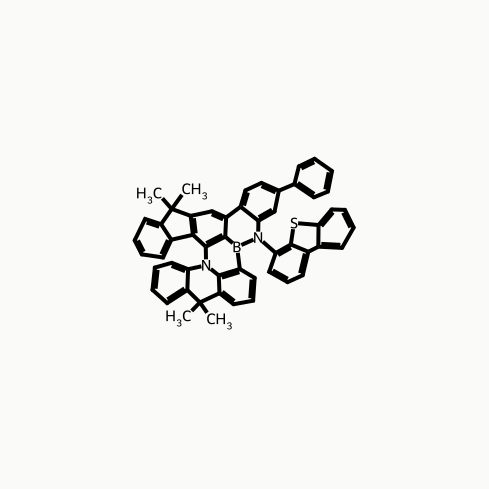 CC1(C)c2ccccc2-c2c1cc1c3c2N2c4ccccc4C(C)(C)c4cccc(c42)B3N(c2cccc3c2sc2ccccc23)c2cc(-c3ccccc3)ccc2-1